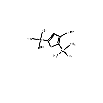 CCCCCCc1c[c]([Sn]([CH2]CCC)([CH2]CCC)[CH2]CCC)sc1[Si](C)(C)C